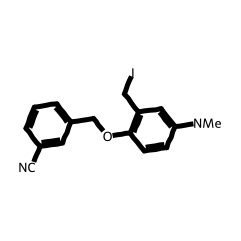 CNc1ccc(OCc2cccc(C#N)c2)c(CI)c1